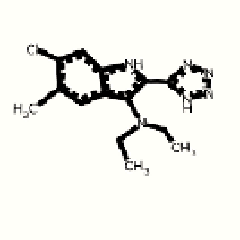 CCN(CC)c1c(-c2nnn[nH]2)[nH]c2cc(Cl)c(C)cc12